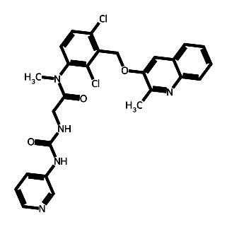 Cc1nc2ccccc2cc1OCc1c(Cl)ccc(N(C)C(=O)CNC(=O)Nc2cccnc2)c1Cl